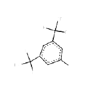 [CH2]c1cc(C(F)(F)C(F)(F)F)cc(C(F)(F)C(F)(F)F)c1